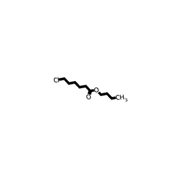 CCCCOC(=O)CCCCCCl